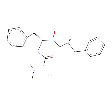 CC[C@H](C)[C@@H](C(=O)N[C@@H](Cc1ccccc1)[C@@H](O)C[C@@H](N)Cc1ccccc1)N(C)C(=O)O